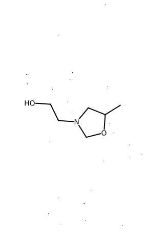 CC1CN(CCO)CO1